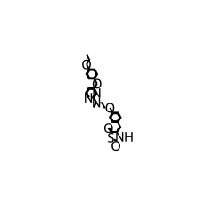 CCOc1ccc(Oc2ccnc(N(C)CCOc3ccc(C=C4NC(=O)SC4=O)cc3)n2)cc1